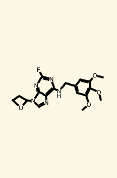 COc1cc(CNc2nc(F)nc3c2ncn3C2CCO2)cc(OC)c1OC